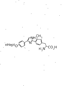 CCCCCCCOc1ccc(-c2c[nH]c(-c3ccc(CC(N)C(=O)O)cc3C)n2)cc1